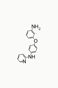 Nc1[c]c(Oc2ccc(Nc3ccccn3)cc2)ccc1